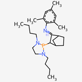 CCCCN1CCN(CCCC)P1C1/C(=N/c2c(C)cc(C)cc2C)C2CCC1C2